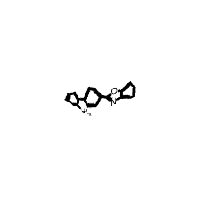 Nc1ccccc1-c1ccc(-c2nc3ccccc3o2)cc1